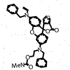 C=CN(Cc1ccccc1)c1ccc2c(c1)Oc1cc(N(CCOC(=O)NC)Cc3ccccc3)ccc1C21OC(=O)c2ccccc21